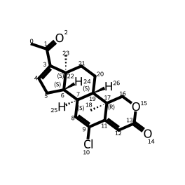 CC(=O)C1=CC[C@H]2[C@@H]3C=C(Cl)C4=CC(=O)OC[C@]4(C)[C@H]3CC[C@]12C